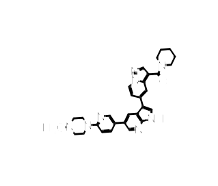 CN1CCN(c2ccc(-c3cnc4[nH]cc(-c5ccn6ncc(C(=O)N7CCCCC7)c6c5)c4c3)cn2)CC1